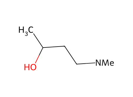 CNCCC(C)O